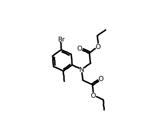 CCOC(=O)CN(CC(=O)OCC)c1cc(Br)ccc1C